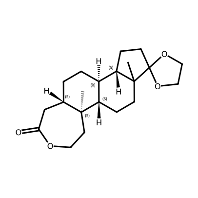 CC12CC[C@H]3[C@@H](CC[C@H]4CC(=O)OCC[C@@]43C)[C@@H]1CCC21OCCO1